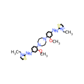 CC[n+]1ccsc1/N=N/c1ccc(N2CCCN(c3ccc(/N=N/c4scc[n+]4CC)cc3OC)CCC2)c(OC)c1